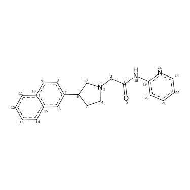 O=C(CN1CCC(c2ccc3ccccc3c2)C1)Nc1ccccn1